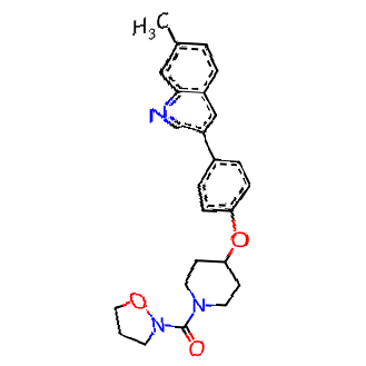 Cc1ccc2cc(-c3ccc(OC4CCN(C(=O)N5CCCO5)CC4)cc3)cnc2c1